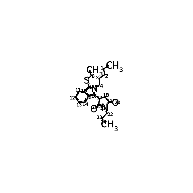 CCCCCn1c(SCC)c2ccccc2c1C1CC(=O)N(CCC)C1=O